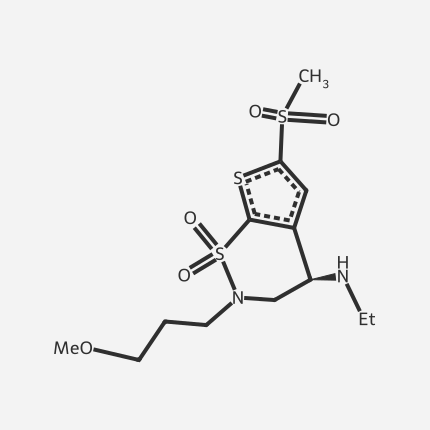 CCN[C@H]1CN(CCCOC)S(=O)(=O)c2sc(S(C)(=O)=O)cc21